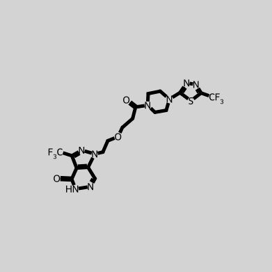 O=C(CCOCCn1nc(C(F)(F)F)c2c(=O)[nH]ncc21)N1CCN(c2nnc(C(F)(F)F)s2)CC1